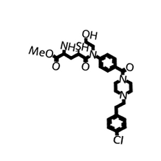 COC(=O)C(N)C[C@@H](S)C(=O)N(CCO)c1ccc(C(=O)N2CCN(CCc3ccc(Cl)cc3)CC2)cc1